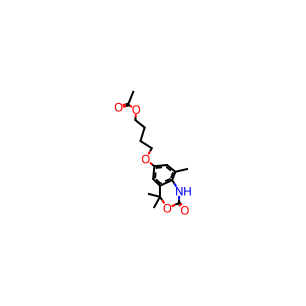 CC(=O)OCCCCOc1cc(C)c2c(c1)C(C)(C)OC(=O)N2